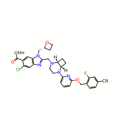 COC(=O)c1cc2c(cc1Cl)nc(CN1CCN(c3cccc(OCc4ccc(C#N)cc4F)n3)[C@H]3CC[C@H]31)n2C[C@H]1CCO1